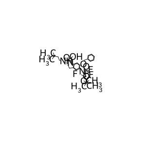 CC(C)CCNC[C@H]1Cc2c(cc(OCc3ccccc3)c(N(CC(=O)OC(C)(C)C)C(=O)C(F)(F)F)c2F)N1C(=O)O